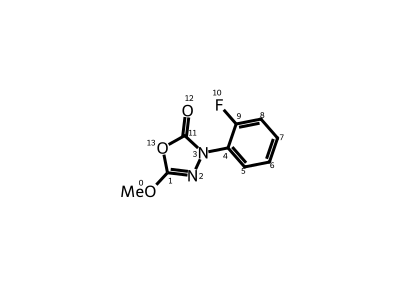 COc1nn(-c2ccccc2F)c(=O)o1